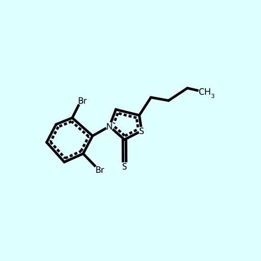 CCCCc1cn(-c2c(Br)cccc2Br)c(=S)s1